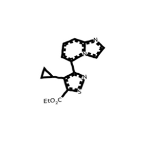 CCOC(=O)c1snc(-c2cccc3nccn23)c1C1CC1